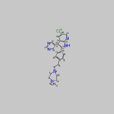 CN1CCN(C[CH]c2ccc(-c3[nH]c4ncc(Cl)cc4c3-c3cncnc3)cc2)CC1